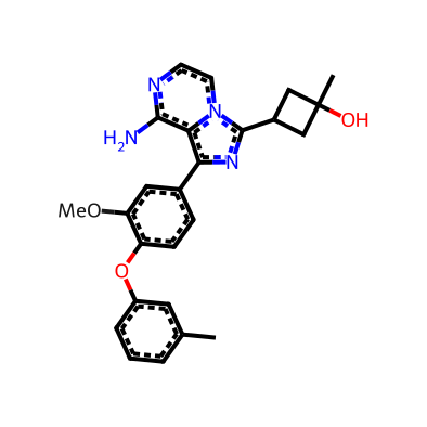 COc1cc(-c2nc(C3CC(C)(O)C3)n3ccnc(N)c23)ccc1Oc1cccc(C)c1